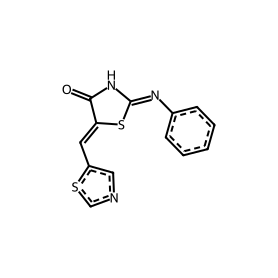 O=C1N/C(=N/c2ccccc2)S/C1=C\c1cncs1